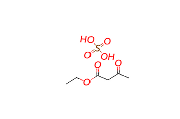 CCOC(=O)CC(C)=O.O=S(=O)(O)O